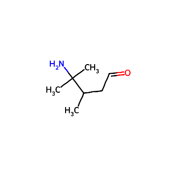 CC(CC=O)C(C)(C)N